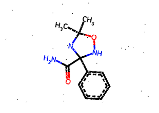 CC1(C)[N]C(C(N)=O)(c2ccccc2)NO1